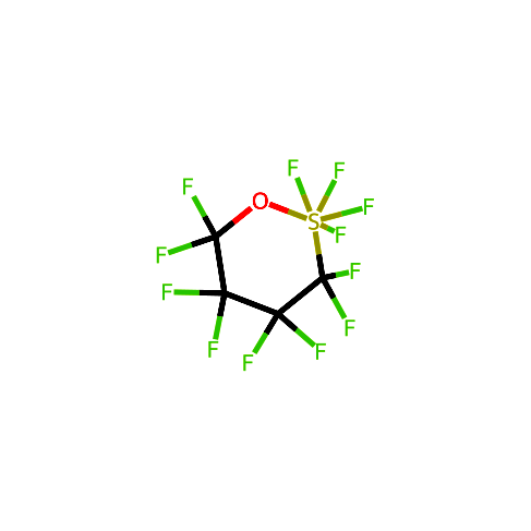 FC1(F)OS(F)(F)(F)(F)C(F)(F)C(F)(F)C1(F)F